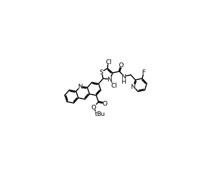 CC(C)(C)OC(=O)c1cc(C2SC(Cl)=C(C(=O)NCc3ncccc3F)N2Cl)cc2nc3ccccc3cc12